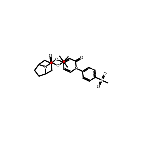 CC(C)(C)OC(=O)N1C2CCC1CC(Oc1ccn(-c3ccc(S(C)(=O)=O)cc3)c(=O)c1)C2